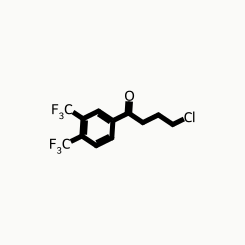 O=C(CCCCl)c1ccc(C(F)(F)F)c(C(F)(F)F)c1